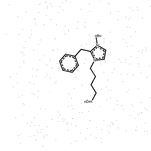 CCCCCCCCCCCCCCn1cc[n+](CCCC)c1Cc1ccccc1